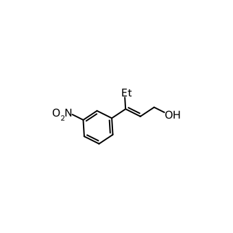 CC/C(=C\CO)c1cccc([N+](=O)[O-])c1